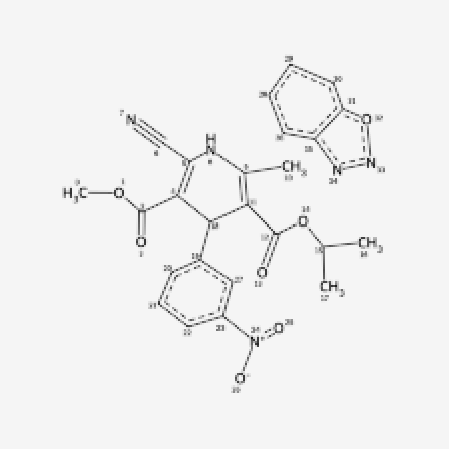 COC(=O)C1=C(C#N)NC(C)=C(C(=O)OC(C)C)C1c1cccc([N+](=O)[O-])c1.c1ccc2onnc2c1